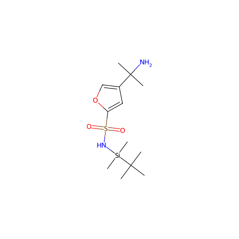 CC(C)(N)c1coc(S(=O)(=O)N[Si](C)(C)C(C)(C)C)c1